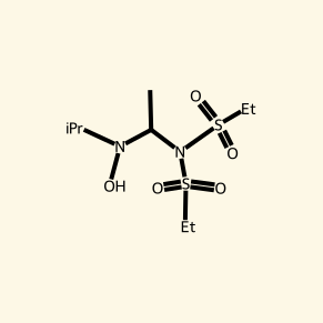 CCS(=O)(=O)N(C(C)N(O)C(C)C)S(=O)(=O)CC